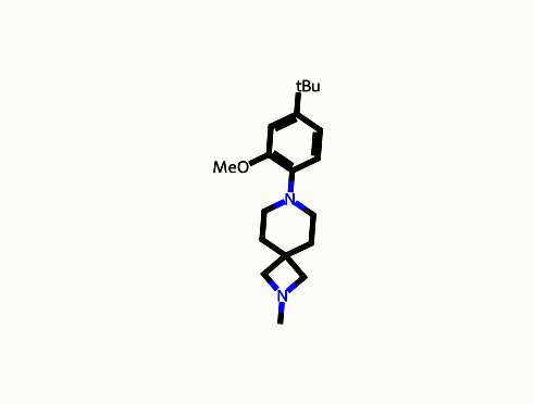 COc1cc(C(C)(C)C)ccc1N1CCC2(CC1)CN(C)C2